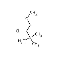 C[N+](C)(C)CCO[SiH3].[Cl-]